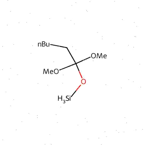 CCCCCC(OC)(OC)O[SiH3]